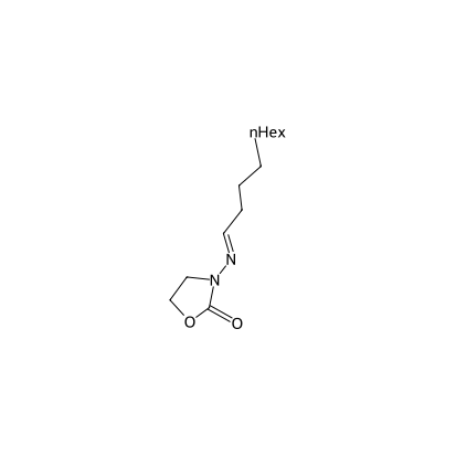 CCCCCCCCCC=NN1CCOC1=O